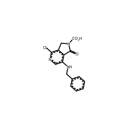 O=C(O)N1Cc2c(Cl)ncc(NCc3ccccc3)c2C1=O